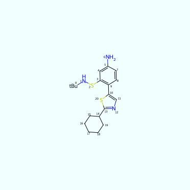 CC(C)(C)NSc1cc(N)ccc1-c1cnc(C2CCCCC2)s1